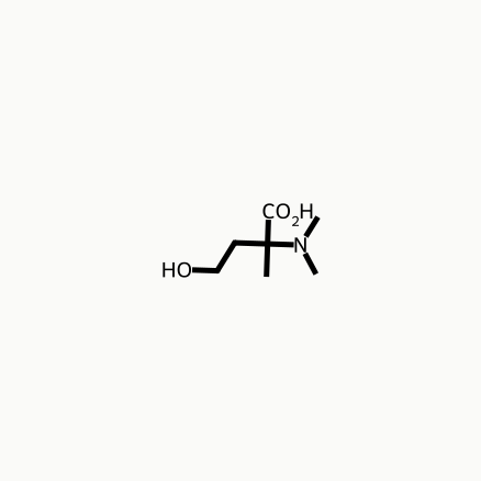 CN(C)C(C)(CCO)C(=O)O